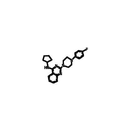 Fc1ccc(N2CCN(c3nc(NC4CCCC4)c4ccccc4n3)CC2)cc1